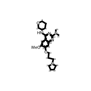 COc1cc2c(N[C@H]3CCCOC3)nc(N(C)C)nc2cc1OCCCN1CCCC1